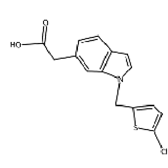 O=C(O)Cc1ccc2ccn(Cc3ccc(Cl)s3)c2c1